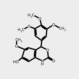 COc1cc2c(cc1O)NC(=O)OC2c1cc(OC)c(OC)c(OC)c1